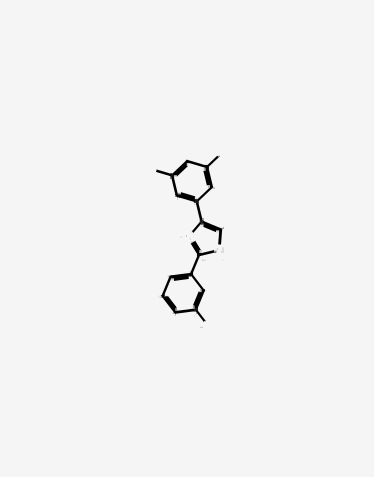 Fc1cc(F)cc(-c2c[nH]c(-c3cccc(F)c3)n2)c1